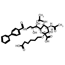 CC(=O)N[C@@H]1[C@@H](NC(C)=O)[C@H](O)[C@](OCCCCCC(=O)O)(C(=O)O)O[C@H]1[C@H](O)[C@H](O)CNC(=O)c1ccc(-c2ccccc2)cc1